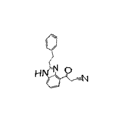 N#CCC(=O)c1cccc2[nH]c(CCc3ccccc3)nc12